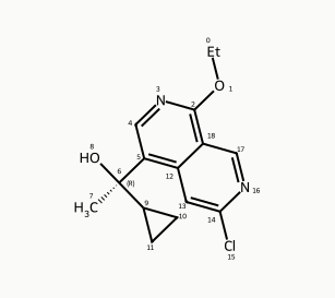 CCOc1ncc([C@](C)(O)C2CC2)c2cc(Cl)ncc12